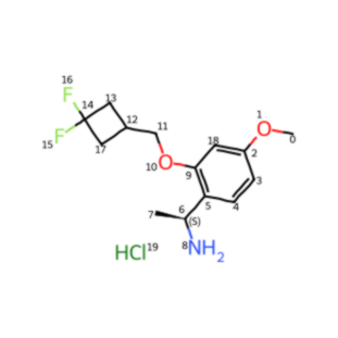 COc1ccc([C@H](C)N)c(OCC2CC(F)(F)C2)c1.Cl